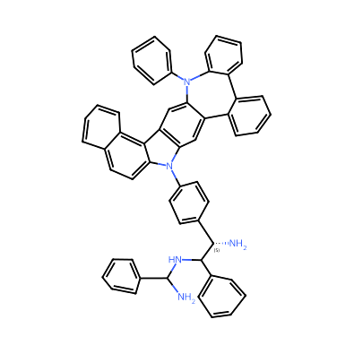 NC(NC(c1ccccc1)[C@@H](N)c1ccc(-n2c3cc4c(cc3c3c5ccccc5ccc32)N(c2ccccc2)c2ccccc2-c2ccccc2-4)cc1)c1ccccc1